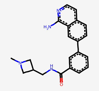 CN1CC(CNC(=O)c2cccc(-c3ccc4ccnc(N)c4c3)c2)C1